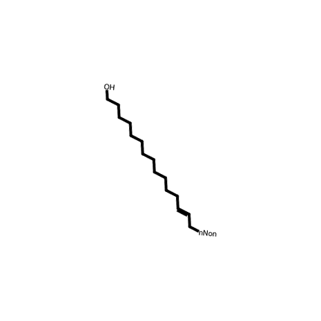 CCCCCCCCCCC=CCCCCCCCCCCCCO